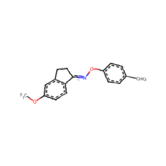 O=Cc1ccc(O/N=C2\CCc3cc(OC(F)(F)F)ccc32)cc1